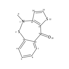 CN1Sc2ccccc2C(=O)c2sccc21